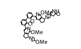 COc1nc(-c2cccc(-c3cccc(-c4cc5c(c(OC)n4)[C@@H](N4CC(OC)C4)CC5)c3Cl)c2Cl)cc2c1[C@H](N1CC3(CNC(=O)C3)C1)CC2